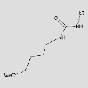 [CH2]CNC(=O)NCCCCOC